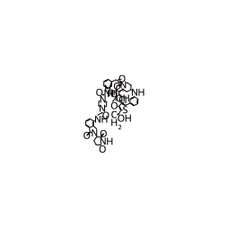 C=C(O)c1sc(-c2cccc(N[C@H]3CCN(S(=O)(=O)Cc4cccc(NC(=O)N5CCN(C(=O)CNc6cccc7c6CN(C6CCC(=O)NC6=O)C7=O)CC5)c4)C(C)(C)C3)c2)c(Cl)c1OCC(=O)O